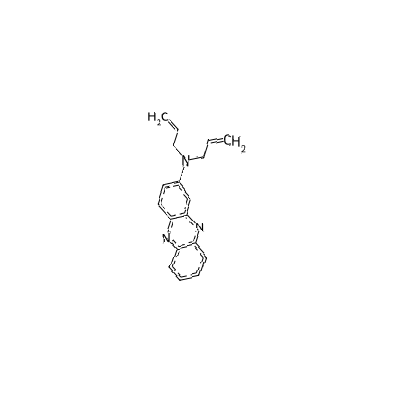 C=CCN(CC=C)c1ccc2nc3ccccc3nc2c1